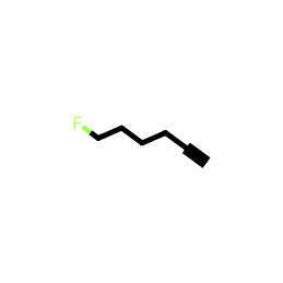 C#CCCCCF